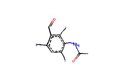 CC(=O)Nc1c(I)cc(I)c(C=O)c1I